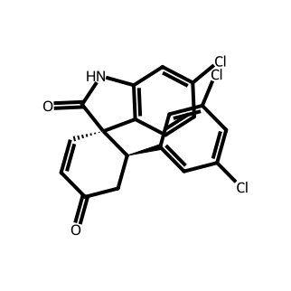 O=C1C=C[C@@]2(C(=O)Nc3cc(Cl)ccc32)[C@@H](c2cc(Cl)cc(Cl)c2)C1